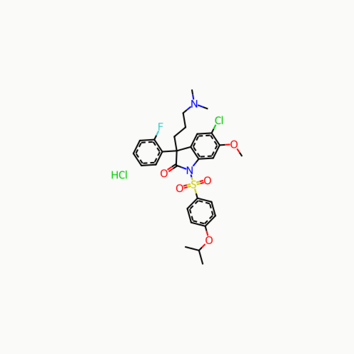 COc1cc2c(cc1Cl)C(CCCN(C)C)(c1ccccc1F)C(=O)N2S(=O)(=O)c1ccc(OC(C)C)cc1.Cl